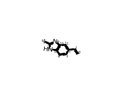 C=Cc1ccc2[nH]c(I)nc2c1